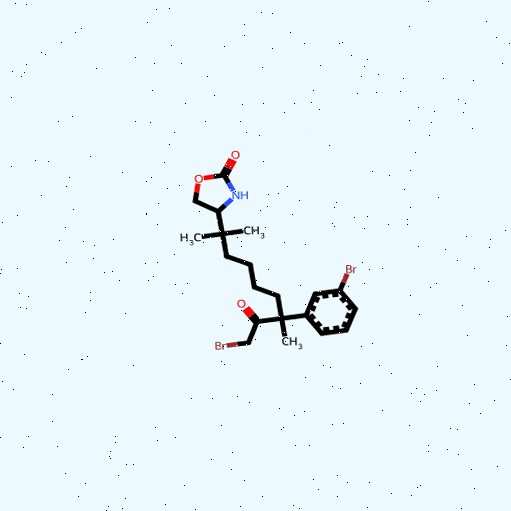 CC(CCCCC(C)(C)C1COC(=O)N1)(C(=O)CBr)c1cccc(Br)c1